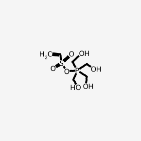 C=CS(=O)(=O)OP(CO)(CO)(CO)CO